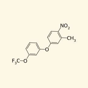 Cc1cc(Oc2cccc(OC(F)(F)F)c2)ccc1[N+](=O)[O-]